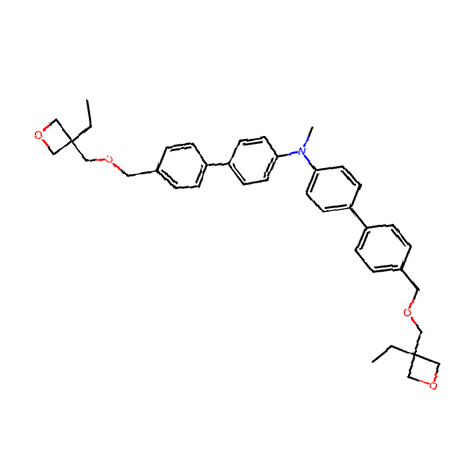 CCC1(COCc2ccc(-c3ccc(N(C)c4ccc(-c5ccc(COCC6(CC)COC6)cc5)cc4)cc3)cc2)COC1